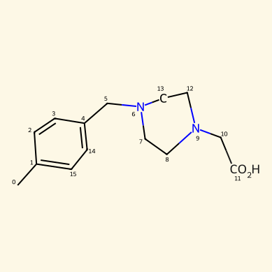 Cc1ccc(CN2CCN(CC(=O)O)CC2)cc1